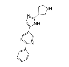 c1ccc(-c2ncc(-c3cnc(C4CCNC4)[nH]3)cn2)cc1